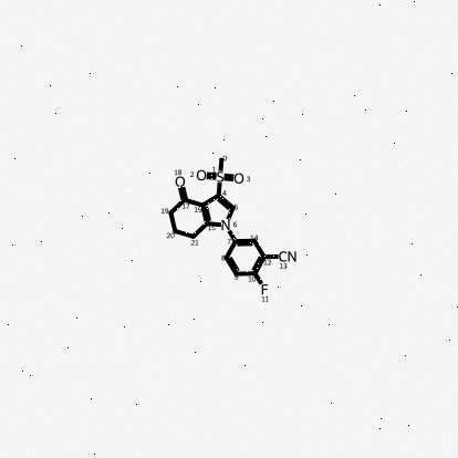 CS(=O)(=O)c1cn(-c2ccc(F)c(C#N)c2)c2c1C(=O)CCC2